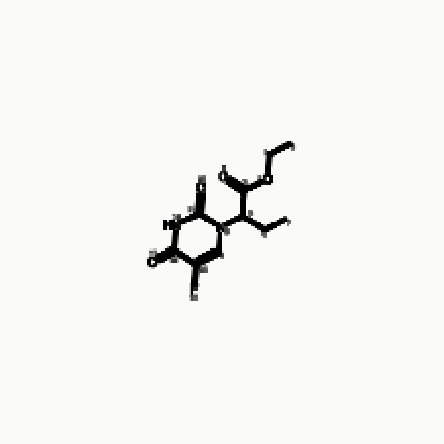 CCOC(=O)C(CC)n1cc(F)c(=O)[nH]c1=O